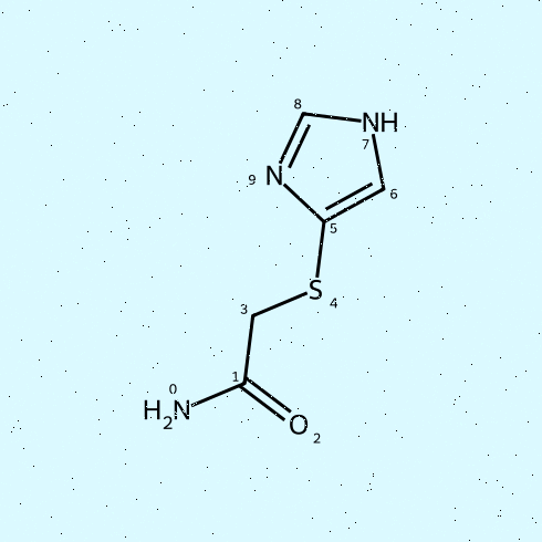 NC(=O)CSc1c[nH]cn1